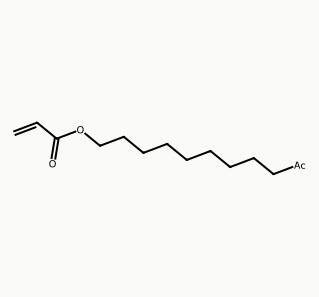 C=CC(=O)OCCCCCCCCCC(C)=O